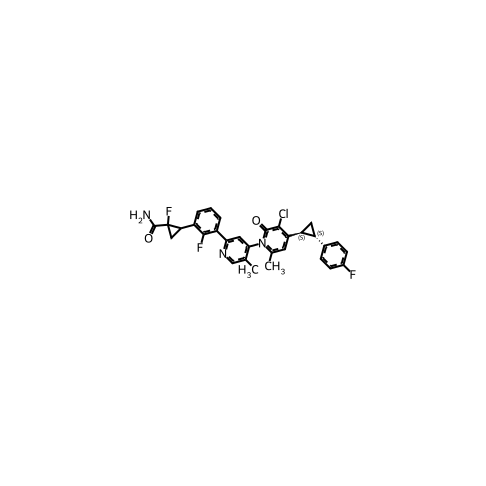 Cc1cnc(-c2cccc(C3CC3(F)C(N)=O)c2F)cc1-n1c(C)cc([C@H]2C[C@@H]2c2ccc(F)cc2)c(Cl)c1=O